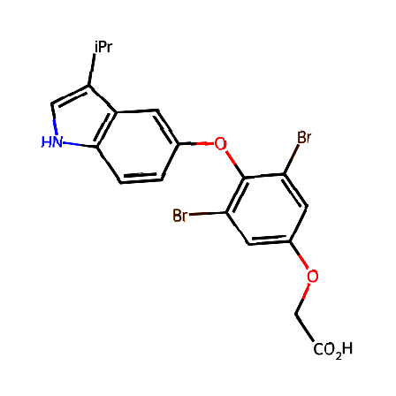 CC(C)c1c[nH]c2ccc(Oc3c(Br)cc(OCC(=O)O)cc3Br)cc12